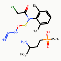 CCc1cccc(C)c1N(SONN=N)C(=O)CCl.CP(=O)(O)CCC(N)C(=O)O